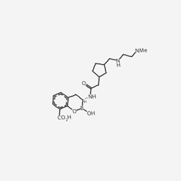 CNCCNCC1CCC(CC(=O)N[C@H]2Cc3cccc(C(=O)O)c3OB2O)C1